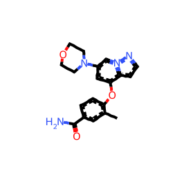 Cc1cc(C(N)=O)ccc1Oc1cc(N2CCOCC2)cn2nccc12